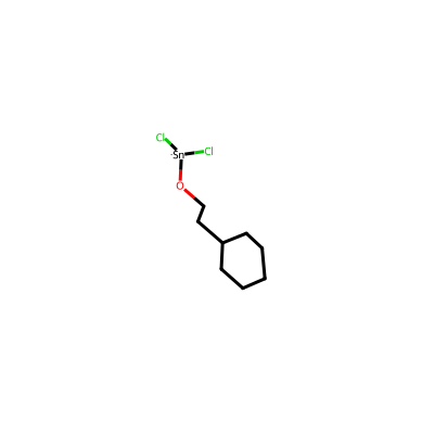 [Cl][Sn]([Cl])[O]CCC1CCCCC1